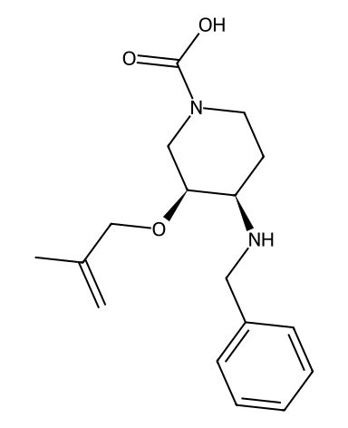 C=C(C)CO[C@H]1CN(C(=O)O)CC[C@H]1NCc1ccccc1